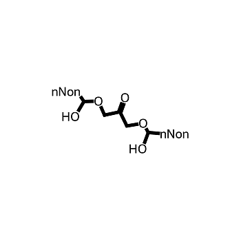 CCCCCCCCCC(O)OCC(=O)COC(O)CCCCCCCCC